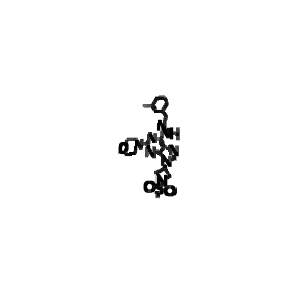 Cc1cccc(C=NNc2nc(N3CCOCC3)nc3c2ncn3C2CN(S(C)(=O)=O)C2)c1